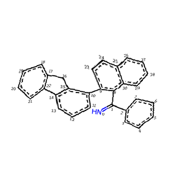 N=C(c1ccccc1)c1c(-c2cccc3c2Cc2ccccc2-3)ccc2ccccc12